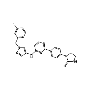 O=C1NCCN1c1ccc(-c2nccc(Nc3cnn(Cc4cccc(F)c4)c3)n2)cc1